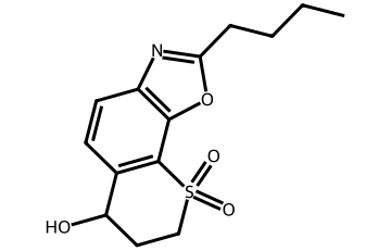 CCCCc1nc2ccc3c(c2o1)S(=O)(=O)CCC3O